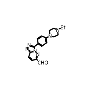 CCN1CCN(c2ccc(-c3nnc4ccc(C=O)nn34)cc2)CC1